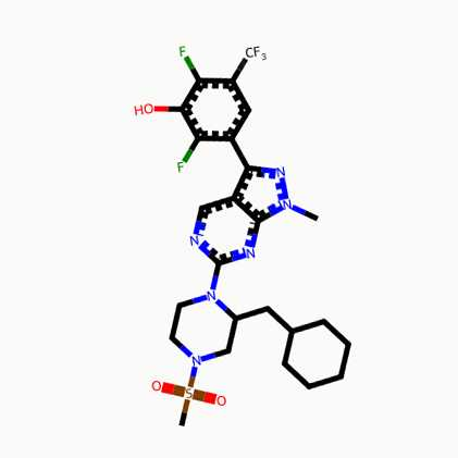 Cn1nc(-c2cc(C(F)(F)F)c(F)c(O)c2F)c2cnc(N3CCN(S(C)(=O)=O)CC3CC3CCCCC3)nc21